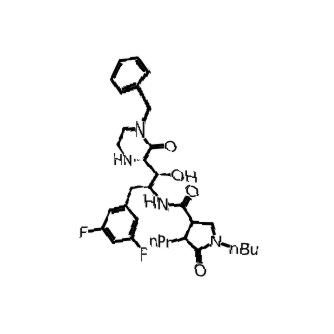 CCCCN1CC(C(=O)N[C@@H](Cc2cc(F)cc(F)c2)[C@H](O)[C@@H]2NCCN(Cc3ccccc3)C2=O)C(CCC)C1=O